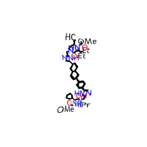 C#CCCN(Cc1ncc(C2=CC3C=CC(c4ccc(-c5cnc(CN(CCC)C(O)C(NC(=O)OC)C6=CC=CCC6)[nH]5)cc4)=CC3C=C2)[nH]1)C(=O)[C@@H](NC(=O)OC)C(CC)CC